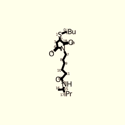 CCC(C)SC1CC(=O)N(CCCCCC(=O)NC(C)C(C)C)C1=O